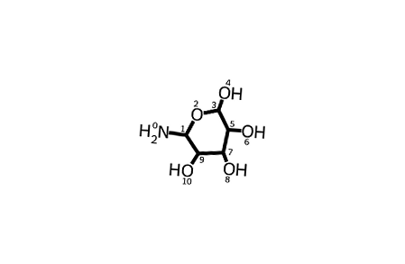 NC1OC(O)C(O)C(O)C1O